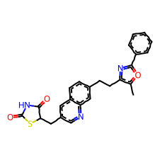 Cc1oc(-c2ccccc2)nc1CCc1ccc2cc(CC3SC(=O)NC3=O)cnc2c1